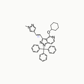 Cn1cc(/C=C/c2nn(C(c3ccccc3)(c3ccccc3)c3ccccc3)c3ccnc(OC4CCCCC4)c23)cn1